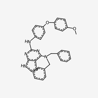 COc1ccc(Oc2ccc(Nc3nc(N(Cc4ccccc4)Cc4ccccc4)c4nc[nH]c4n3)cc2)cc1